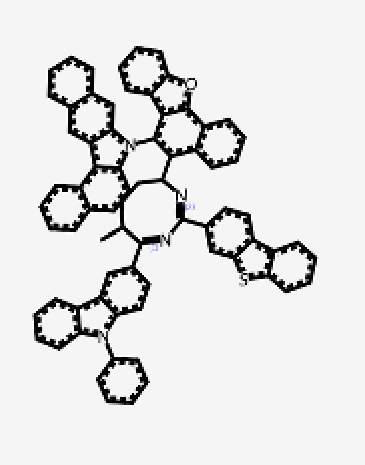 CC1CCC(c2c(-n3c4cc5ccccc5cc4c4c5ccccc5ccc43)c3c4ccccc4oc3c3ccccc23)/N=C(c2ccc3c(c2)sc2ccccc23)\N=C/1c1ccc2c(c1)c1ccccc1n2-c1ccccc1